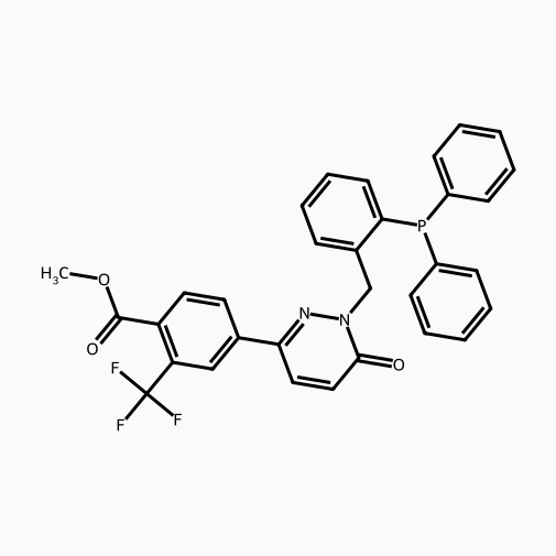 COC(=O)c1ccc(-c2ccc(=O)n(Cc3ccccc3P(c3ccccc3)c3ccccc3)n2)cc1C(F)(F)F